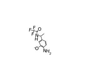 COc1cc(C(C)NC(=O)C(F)(F)F)ccc1N